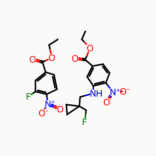 CCOC(=O)c1ccc([N+](=O)[O-])c(F)c1.CCOC(=O)c1ccc([N+](=O)[O-])c(NCC2(CF)CC2)c1